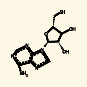 Nc1ncnc2c1ncn2[C@@H]1O[C@H](CS)C(O)[C@@H]1O